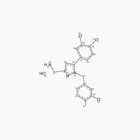 Cc1ccc(Cn2nc(CN)cc2-c2ccc(Cl)c(Cl)c2)cc1Cl.Cl